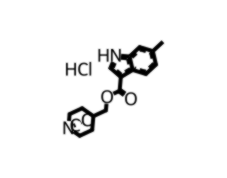 Cc1ccc2c(C(=O)OCC34CCN(CC3)CC4)c[nH]c2c1.Cl